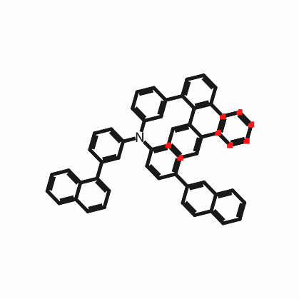 c1ccc(-c2ccccc2-c2c(-c3ccccc3)cccc2-c2cccc(N(c3ccc(-c4ccc5ccccc5c4)cc3)c3cccc(-c4cccc5ccccc45)c3)c2)cc1